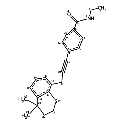 CCNC(=O)c1ccc(C#CCc2cccc3c2SCCC3(C)C)cc1